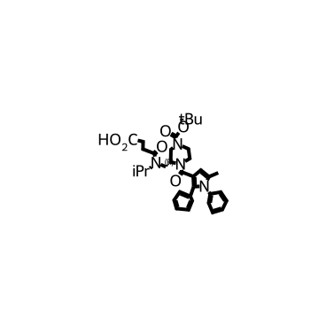 Cc1cc(C(=O)N2CCN(C(=O)OC(C)(C)C)C[C@H]2CN(C(=O)CCC(=O)O)C(C)C)c(-c2ccccc2)n1-c1ccccc1